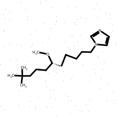 CO[C@H](CCCCCn1ccnc1)CCCC(C)(C)C